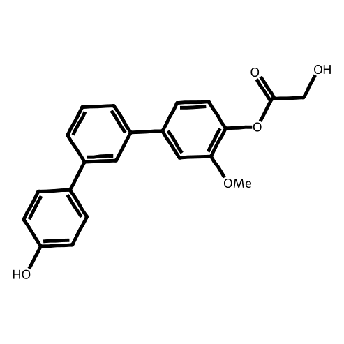 COc1cc(-c2cccc(-c3ccc(O)cc3)c2)ccc1OC(=O)CO